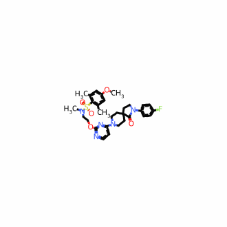 COc1cc(C)c(S(=O)(=O)N(C)CCOc2nccc(N3CCC4(CC3)CCN(c3ccc(F)cc3)C4=O)n2)c(C)c1